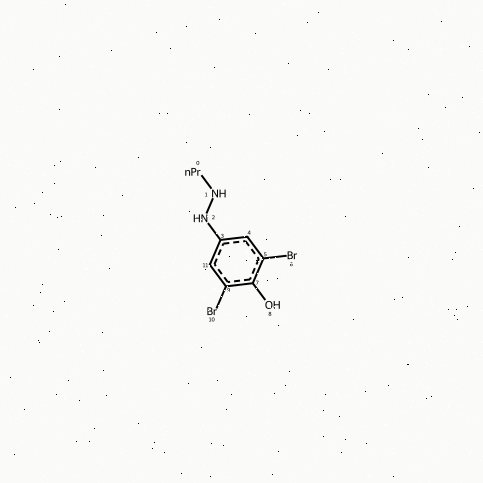 CCCNNc1cc(Br)c(O)c(Br)c1